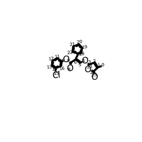 CC1=CC(O/C=C(/C(=O)Oc2cccc(Cl)c2)c2ccccc2)OC1=O